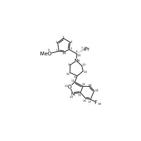 COc1cccc([C@H](C(C)C)N2CCC(c3onc4cc(F)ccc34)CC2)c1